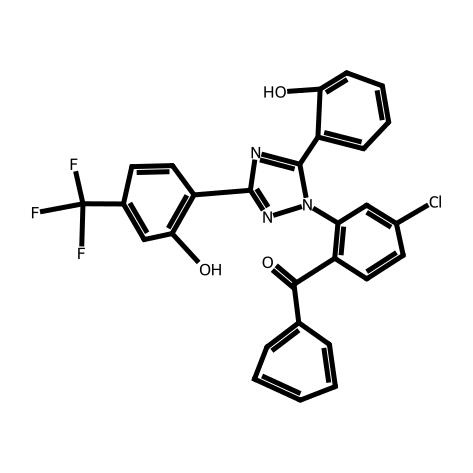 O=C(c1ccccc1)c1ccc(Cl)cc1-n1nc(-c2ccc(C(F)(F)F)cc2O)nc1-c1ccccc1O